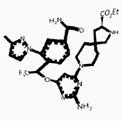 CCOC(=O)[C@@H]1CC2(CCN(c3cc(OC(c4ccc(C(N)=O)cc4-n4ccc(C)n4)C(F)(F)F)nc(N)n3)CC2)CN1